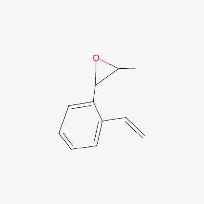 C=Cc1ccccc1C1OC1C